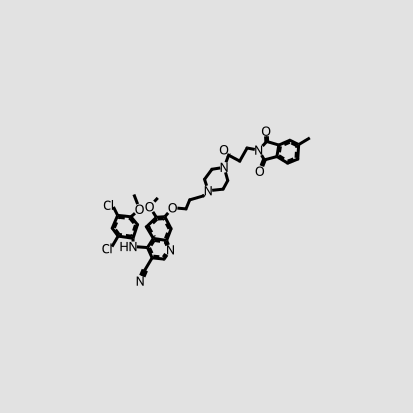 COc1cc(Nc2c(C#N)cnc3cc(OCCCN4CCN(C(=O)CCN5C(=O)c6ccc(C)cc6C5=O)CC4)c(OC)cc23)c(Cl)cc1Cl